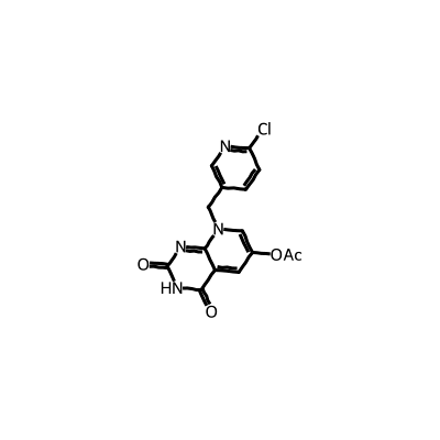 CC(=O)Oc1cc2c(=O)[nH]c(=O)nc-2n(Cc2ccc(Cl)nc2)c1